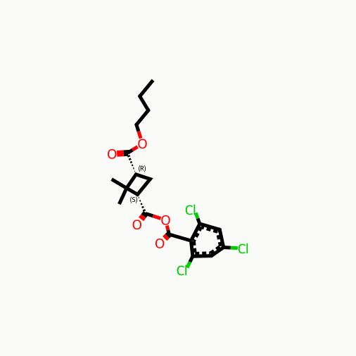 CCCCOC(=O)[C@@H]1C[C@H](C(=O)OC(=O)c2c(Cl)cc(Cl)cc2Cl)C1(C)C